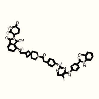 O=C1CCC(N2C(=O)c3cccc(NCC4CC5(CCN(C(=O)Cc6ccc(Nc7ncc(F)c(Nc8ccc(C(=O)Nc9ccccc9Cl)cc8)n7)cc6)CC5)C4)c3C2O)C(=O)N1